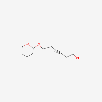 OCCC#CCCOC1CCCCO1